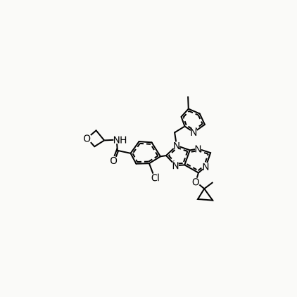 Cc1ccnc(Cn2c(-c3ccc(C(=O)NC4COC4)cc3Cl)nc3c(OC4(C)CC4)ncnc32)c1